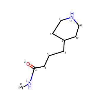 CC(C)NC(=O)CCCC1CCNCC1